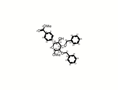 COC(=O)c1ccc([C@H]2O[C@H](OC)[C@H](OCc3ccccc3)[C@@H](OCc3ccccc3)[C@@H]2O)cc1